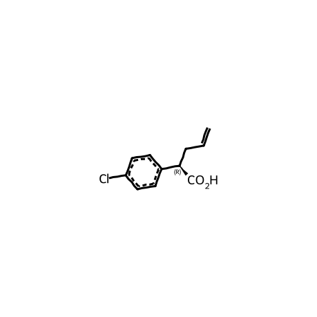 C=CC[C@@H](C(=O)O)c1ccc(Cl)cc1